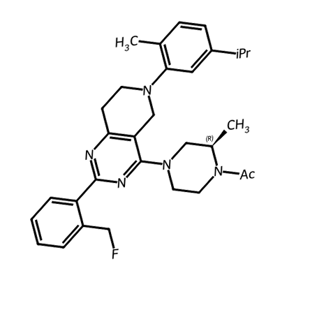 CC(=O)N1CCN(c2nc(-c3ccccc3CF)nc3c2CN(c2cc(C(C)C)ccc2C)CC3)C[C@H]1C